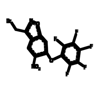 O=[N+]([O-])c1cc2c(CBr)noc2cc1Oc1c(F)c(F)c(F)c(F)c1F